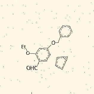 CCOc1cc(OCc2ccccc2)ccc1C=O.c1cc2cc-2c1